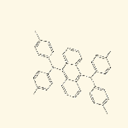 Cc1ccc(C(c2ccc(C)cc2)c2c3ccccc3c(N(c3ccc(C)cc3)c3ccc(C)cc3)c3ccccc23)cc1